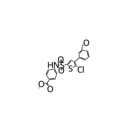 COC(=O)c1ccc(NS(=O)(=O)c2cc(-c3cccc(C=O)c3)c(Cl)s2)cc1